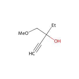 C#CC(O)(CC)COC